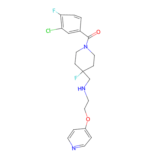 O=C(c1ccc(F)c(Cl)c1)N1CCC(F)(CNCCOc2ccncc2)CC1